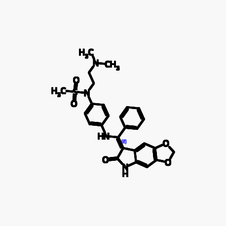 CN(C)CCN(c1ccc(N/C(=C2\C(=O)Nc3cc4c(cc32)OCO4)c2ccccc2)cc1)S(C)(=O)=O